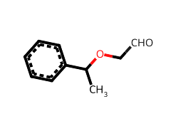 CC(OCC=O)c1ccccc1